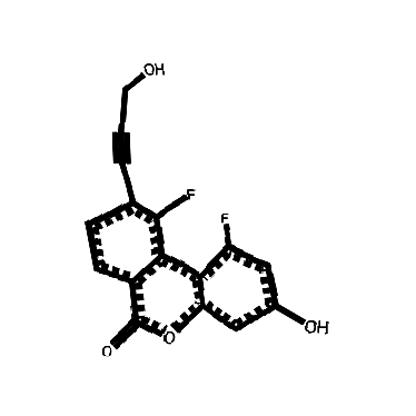 O=c1oc2cc(O)cc(F)c2c2c(F)c(C#CCO)ccc12